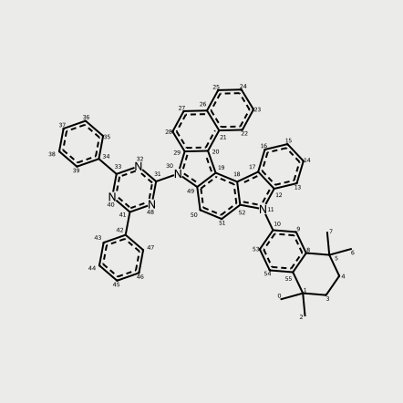 CC1(C)CCC(C)(C)c2cc(-n3c4ccccc4c4c5c6c7ccccc7ccc6n(-c6nc(-c7ccccc7)nc(-c7ccccc7)n6)c5ccc43)ccc21